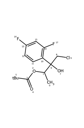 CC(OC(=O)C(C)(C)C)C(O)(CCl)c1ccc(F)cc1F